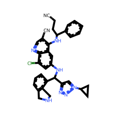 N#CCCC(Nc1c(C#N)cnc2c(Cl)cc(NC(c3cn(C4CC4)nn3)c3cccc4c3CNC4)cc12)c1ccccc1